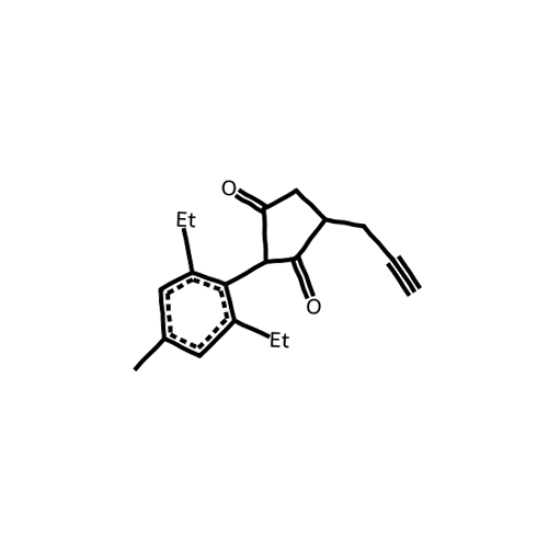 C#CCC1CC(=O)C(c2c(CC)cc(C)cc2CC)C1=O